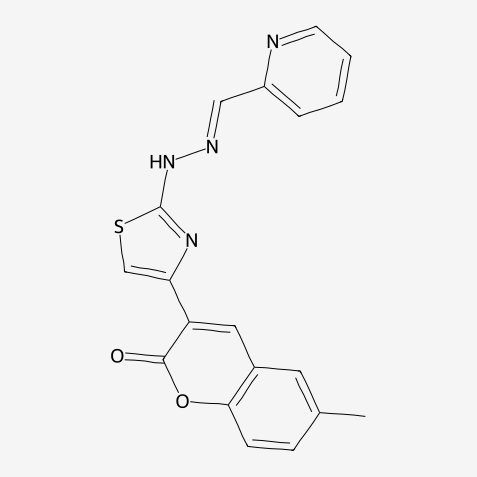 Cc1ccc2oc(=O)c(-c3csc(NN=Cc4ccccn4)n3)cc2c1